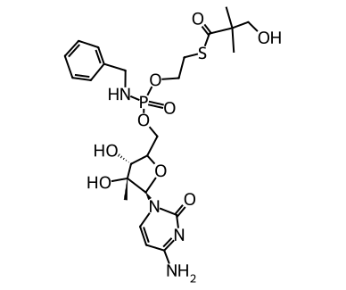 CC(C)(CO)C(=O)SCCOP(=O)(NCc1ccccc1)OCC1O[C@@H](n2ccc(N)nc2=O)[C@](C)(O)[C@@H]1O